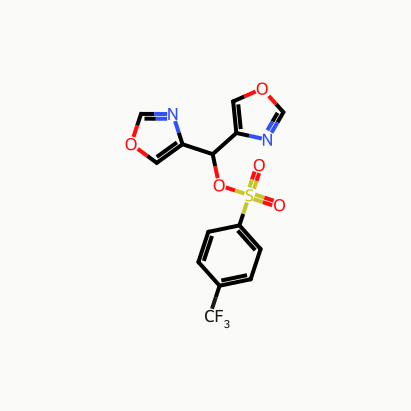 O=S(=O)(OC(c1cocn1)c1cocn1)c1ccc(C(F)(F)F)cc1